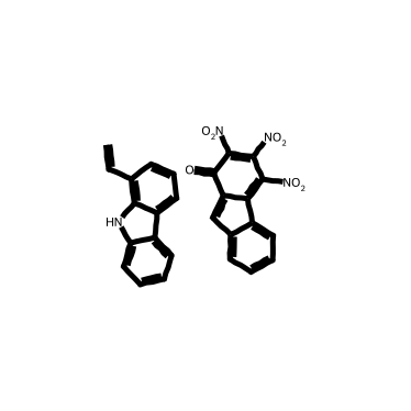 C=Cc1cccc2c1[nH]c1ccccc12.O=C1C2=Cc3ccccc3C2=C([N+](=O)[O-])C([N+](=O)[O-])=C1[N+](=O)[O-]